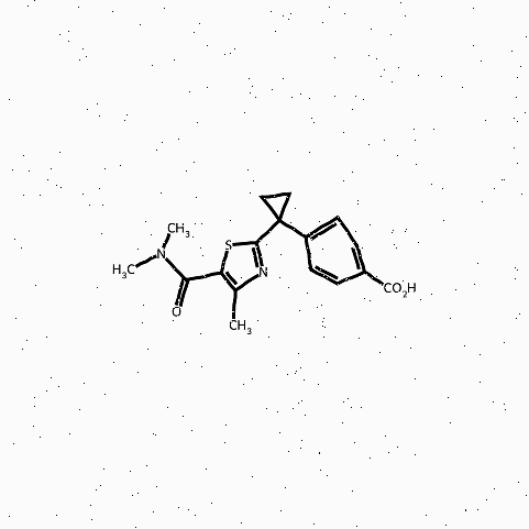 Cc1nc(C2(c3ccc(C(=O)O)cc3)CC2)sc1C(=O)N(C)C